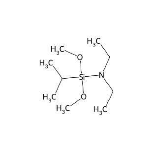 CCN(CC)[Si](OC)(OC)C(C)C